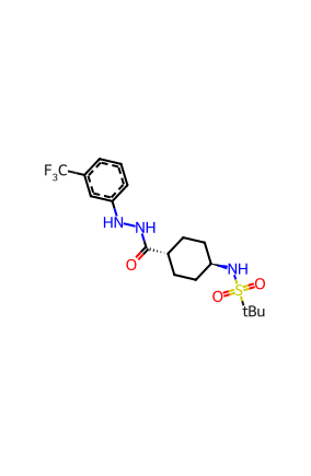 CC(C)(C)S(=O)(=O)N[C@H]1CC[C@H](C(=O)NNc2cccc(C(F)(F)F)c2)CC1